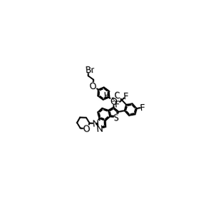 CC(F)(F)c1cc(F)ccc1-c1sc2c(ccc3c2cnn3C2CCCCO2)c1Oc1ccc(OCCBr)cc1